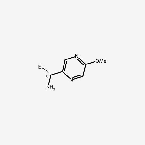 CC[C@@H](N)c1cnc(OC)cn1